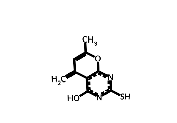 C=C1C=C(C)Oc2nc(S)nc(O)c21